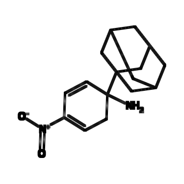 NC1(C23CC4CC(CC(C4)C2)C3)C=CC([N+](=O)[O-])=CC1